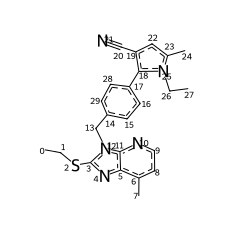 CCSc1nc2c(C)ccnc2n1Cc1ccc(-c2c(C#N)cc(C)n2CC)cc1